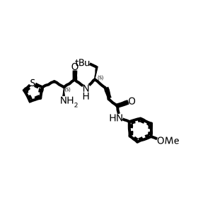 COc1ccc(NC(=O)C=C[C@H](CC(C)(C)C)NC(=O)[C@@H](N)Cc2cccs2)cc1